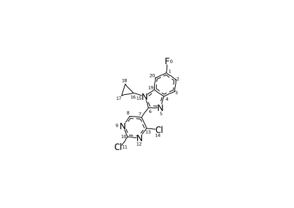 Fc1ccc2nc(-c3cnc(Cl)nc3Cl)n(C3CC3)c2c1